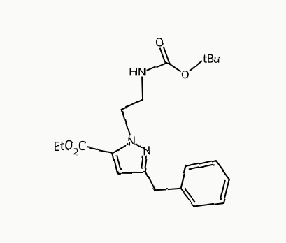 CCOC(=O)c1cc(Cc2ccccc2)nn1CCNC(=O)OC(C)(C)C